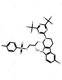 Cc1ccc(S(=O)(=O)OC[C@@H](O)C[C@H]2c3[nH]c4ccc(Cl)cc4c3CCN2c2nc(C(F)(F)F)nc(C(F)(F)F)n2)cc1